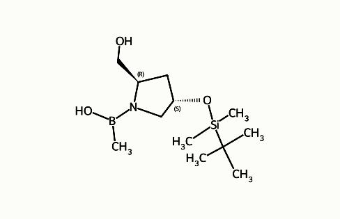 CB(O)N1C[C@@H](O[Si](C)(C)C(C)(C)C)C[C@@H]1CO